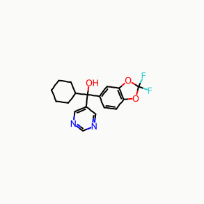 OC(c1cncnc1)(c1ccc2c(c1)OC(F)(F)O2)C1CCCCC1